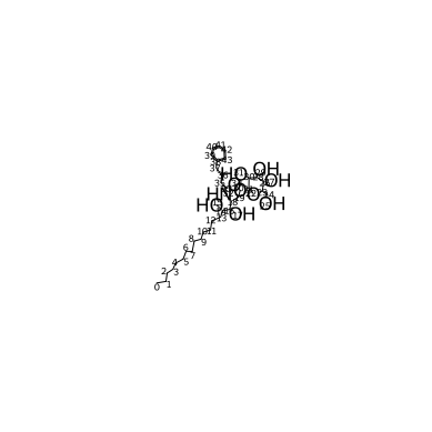 CCCCCCCCCCCCCC[C@@H](O)[C@@H](O)[C@H](COC1OC(CO)C(O)C(O)C1O)NC(=O)CCCc1ccccc1